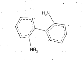 Nc1ccc[c]c1-c1ccccc1N